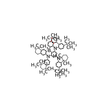 CC(C)(C)c1ccc(N2c3cc(C(C)(C)C)ccc3B3c4cc5c(cc4N(c4ccc6c(c4)C(C)(C)CCC6(C)C)c4cc(N6c7ccc([Si](C)(C)C)cc7C7(C)CCCCC67C)cc2c43)CCCC5(C)C)c(-c2ccccc2)c1